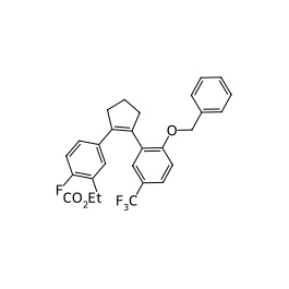 CCOC(=O)c1cc(C2=C(c3cc(C(F)(F)F)ccc3OCc3ccccc3)CCC2)ccc1F